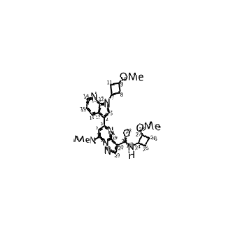 CNc1cc(-c2cn(C3CC(OC)C3)c3ncccc23)nc2c(C(=O)NC3CCC3OC)cnn12